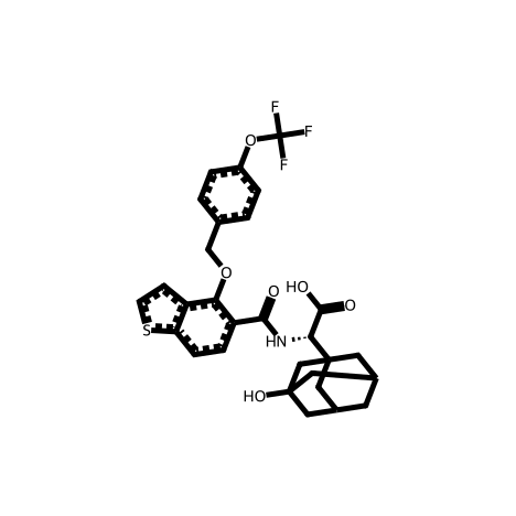 O=C(N[C@H](C(=O)O)C12CC3CC(CC(O)(C3)C1)C2)c1ccc2sccc2c1OCc1ccc(OC(F)(F)F)cc1